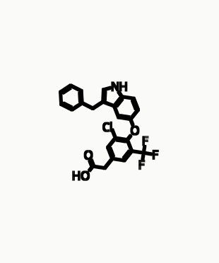 O=C(O)Cc1cc(Cl)c(Oc2ccc3[nH]cc(Cc4ccccc4)c3c2)c(C(F)(F)F)c1